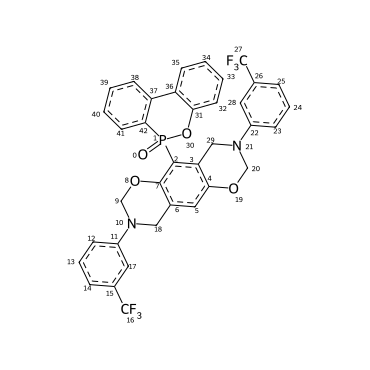 O=P1(c2c3c(cc4c2OCN(c2cccc(C(F)(F)F)c2)C4)OCN(c2cccc(C(F)(F)F)c2)C3)Oc2ccccc2-c2ccccc21